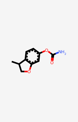 CC1COc2cc(OC(N)=O)ccc21